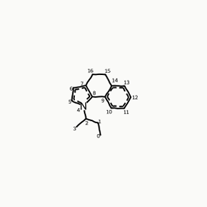 CCC(C)n1ccc2c1-c1ccccc1CC2